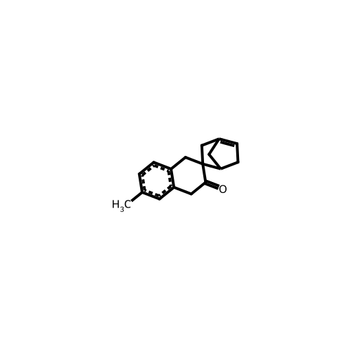 Cc1ccc2c(c1)CC(=O)C1(CC3=CCC1C3)C2